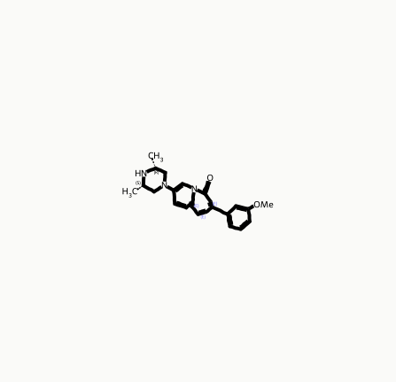 COc1cccc(C2=C\C(=O)N3C=C(N4C[C@@H](C)N[C@@H](C)C4)C=C\C3=C/C=C/2)c1